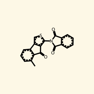 Cc1cccc2c1C(=O)c1c-2csc1N1C(=O)c2ccccc2C1=O